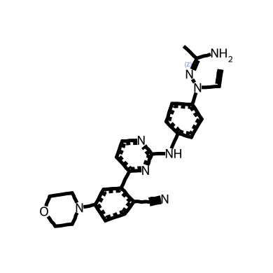 C=CN(/N=C(/C)N)c1ccc(Nc2nccc(-c3cc(N4CCOCC4)ccc3C#N)n2)cc1